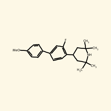 COc1ccc(-c2ccc(C3CC(C)(C)NC(C)(C)C3)c(F)c2)cc1